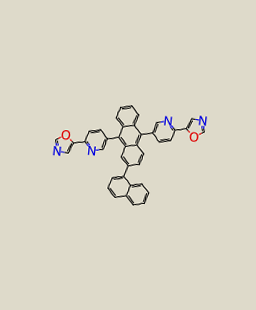 c1ccc2c(-c3ccc4c(-c5ccc(-c6cnco6)nc5)c5ccccc5c(-c5ccc(-c6cnco6)nc5)c4c3)cccc2c1